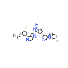 Cc1cc(F)cc(-c2nccc3[nH]c(-c4n[nH]c5ccc(-c6cncc(N(C)C)c6)cc45)cc23)c1